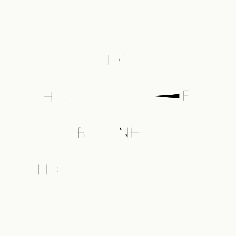 CC[C@H](C)NB(C)O